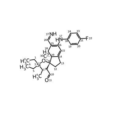 CC[Si](CC)(CC)O[C@@]1(CC=O)CCC2=CC(Nc3ccc(F)cc3)=C(C=N)C[C@@]21C